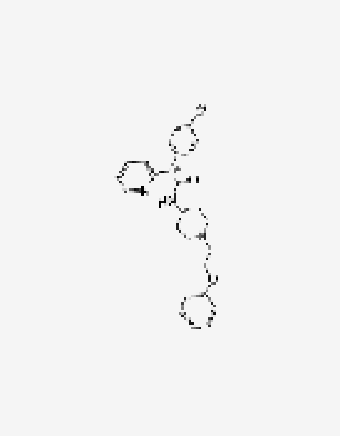 O=C(NC1CCN(CCOc2ccccc2)CC1)[C@@H](c1ccc(Cl)cc1)c1ccccn1